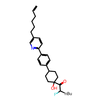 C=CCCCCc1ccc(-c2ccc(C3CCC(O)(C(=O)C(F)CCCC)CC3)cc2)nc1